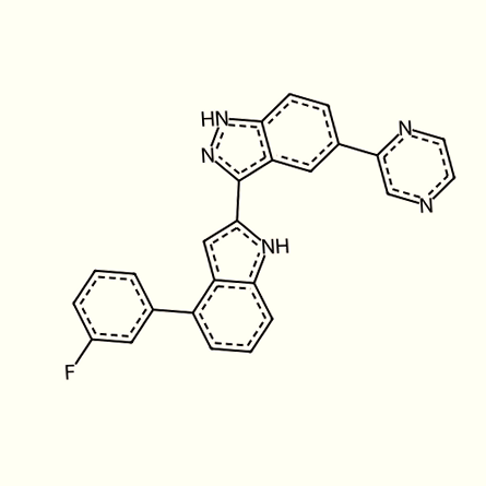 Fc1cccc(-c2cccc3[nH]c(-c4n[nH]c5ccc(-c6cnccn6)cc45)cc23)c1